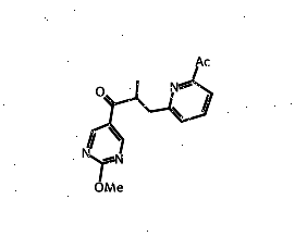 COc1ncc(C(=O)C(C)Cc2cccc(C(C)=O)n2)cn1